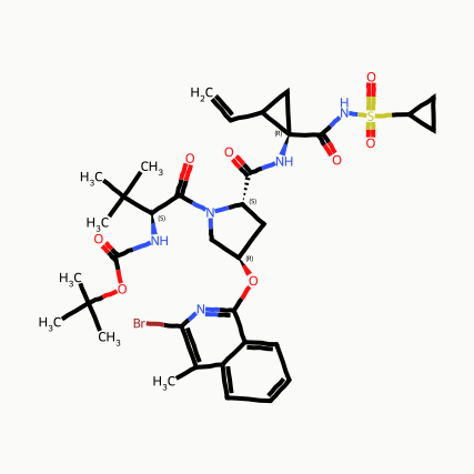 C=CC1C[C@]1(NC(=O)[C@@H]1C[C@@H](Oc2nc(Br)c(C)c3ccccc23)CN1C(=O)[C@@H](NC(=O)OC(C)(C)C)C(C)(C)C)C(=O)NS(=O)(=O)C1CC1